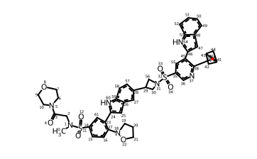 CN(CC(=O)N1CCOCC1)S(=O)(=O)c1ccc(N2CCCO2)c(-c2cc3cc(C4CN(S(=O)(=O)c5cnc(N6CC7CC6C7)c(-c6cc7ccccc7[nH]6)c5)C4)ccc3[nH]2)c1